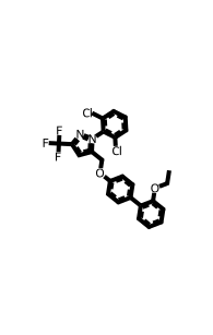 CCOc1ccccc1-c1ccc(OCc2cc(C(F)(F)F)nn2-c2c(Cl)cccc2Cl)cc1